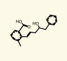 Cc1cccc(C(=O)O)c1C=CCC(O)Cc1ccccc1